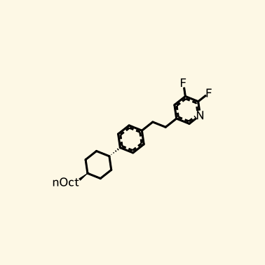 CCCCCCCC[C@H]1CC[C@H](c2ccc(CCc3cnc(F)c(F)c3)cc2)CC1